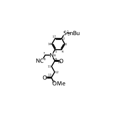 CCCCSc1ccc(N(CC#N)C(=O)CCC(=O)OC)cc1